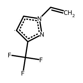 C=Cn1c[c]c(C(F)(F)F)n1